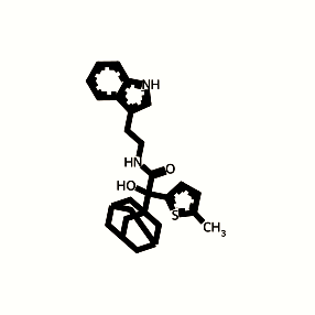 Cc1ccc(C(O)(C(=O)NCCc2c[nH]c3ccccc23)C23CC4CC(CC(C4)C2)C3)s1